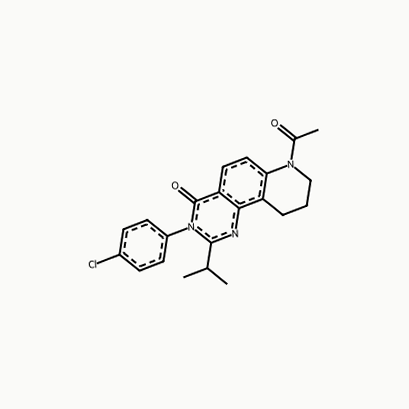 CC(=O)N1CCCc2c1ccc1c(=O)n(-c3ccc(Cl)cc3)c(C(C)C)nc21